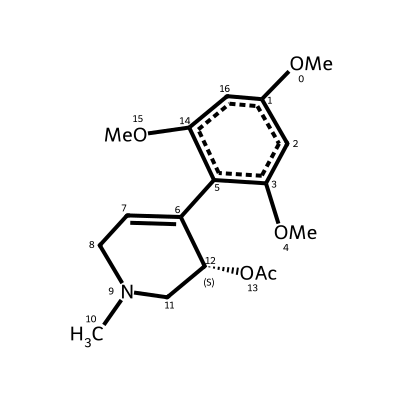 COc1cc(OC)c(C2=CCN(C)C[C@H]2OC(C)=O)c(OC)c1